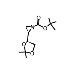 CC(C)(C)OC(=O)N1C[C@H]1[C@H]1COC(C)(C)O1